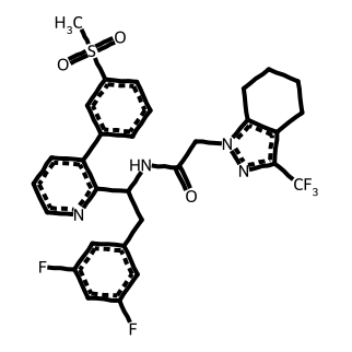 CS(=O)(=O)c1cccc(-c2cccnc2C(Cc2cc(F)cc(F)c2)NC(=O)Cn2nc(C(F)(F)F)c3c2CCCC3)c1